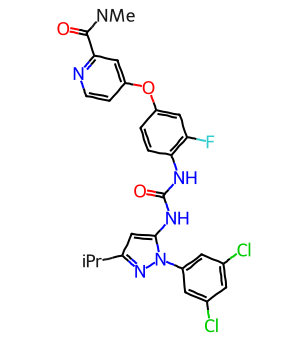 CNC(=O)c1cc(Oc2ccc(NC(=O)Nc3cc(C(C)C)nn3-c3cc(Cl)cc(Cl)c3)c(F)c2)ccn1